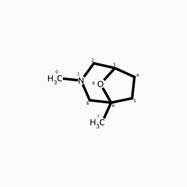 CN1CC2CCC(C)(C1)O2